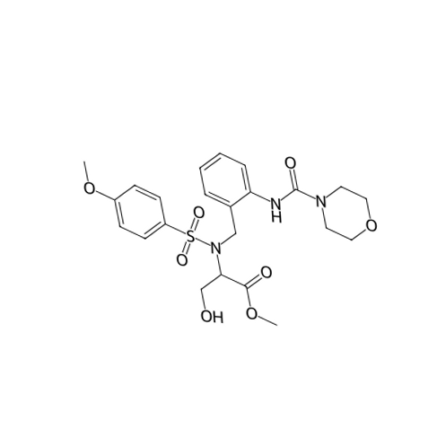 COC(=O)C(CO)N(Cc1ccccc1NC(=O)N1CCOCC1)S(=O)(=O)c1ccc(OC)cc1